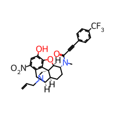 C=CCN1CC[C@]23c4c5c([N+](=O)[O-])cc(O)c4O[C@H]2[C@H](N(C)C(=O)C#Cc2ccc(C(F)(F)F)cc2)CC[C@H]3[C@H]1C5